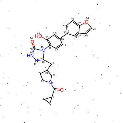 O=C(C1CC1)N1CC[C@@H](Cc2n[nH]c(=O)n2-c2ccc(-c3ccc4occc4c3)cc2O)C1